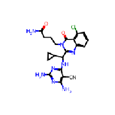 N#Cc1c(N)nc(N)nc1NC(c1nc2cccc(Cl)c2c(=O)n1CCCC(N)=O)C1CC1